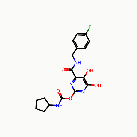 O=C(NC1CCCC1)Oc1nc(O)c(O)c(C(=O)NCc2ccc(F)cc2)n1